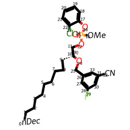 CCCCCCCCCCCCCCCCCCC[C@H](COP(=O)(OC)Oc1ccccc1Cl)OCc1cc(F)cc(C#N)c1